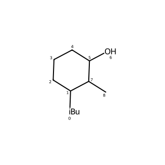 CCC(C)C1CCCC(O)C1C